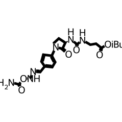 CC(C)COC(=O)CCNC(=O)N[C@H]1CCN(c2ccc(C=NNOC(N)=O)cc2)C1=O